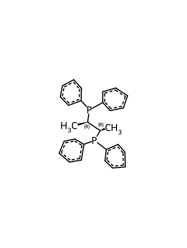 C[C@H]([C@@H](C)P(c1ccccc1)c1ccccc1)P(c1ccccc1)c1ccccc1